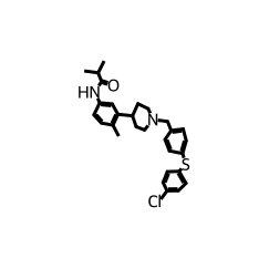 Cc1ccc(NC(=O)C(C)C)cc1C1CCN(Cc2ccc(Sc3ccc(Cl)cc3)cc2)CC1